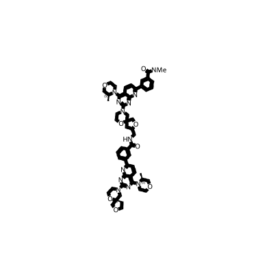 CNC(=O)c1cccc(-c2ccc3c(N4CCOC[C@@H]4C)nc(N4CCOC5(COC(CNC(=O)c6cccc(-c7ccc8c(N9CCOC[C@@H]9C)nc(N9CCO[C@]%10(CCOC%10)C9)nc8n7)c6)C5)C4)nc3n2)c1